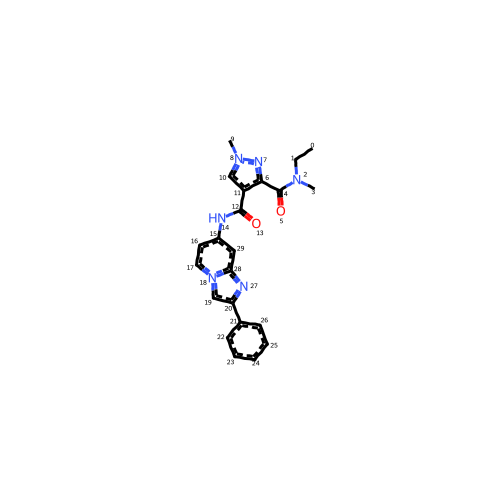 CCN(C)C(=O)c1nn(C)cc1C(=O)Nc1ccn2cc(-c3ccccc3)nc2c1